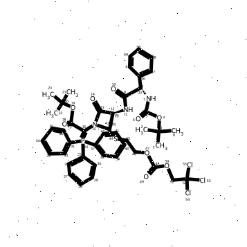 CC(C)(C)OC(=O)N[C@H](C(=O)N[C@@H]1C(=O)N(C(C(=O)OC(C)(C)C)=P(c2ccccc2)(c2ccccc2)c2ccccc2)[C@@H]1SCCOC(=O)OCC(Cl)(Cl)Cl)c1ccccc1